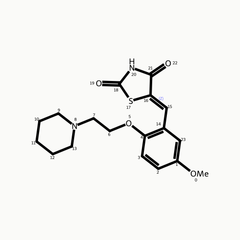 COc1ccc(OCCN2CCCCC2)c(/C=C2\SC(=O)NC2=O)c1